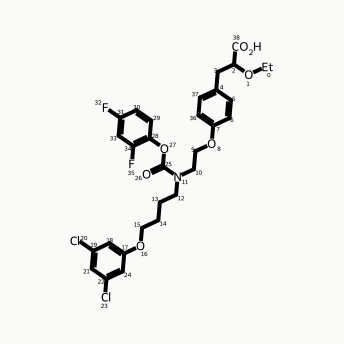 CCOC(Cc1ccc(OCCN(CCCCOc2cc(Cl)cc(Cl)c2)C(=O)Oc2ccc(F)cc2F)cc1)C(=O)O